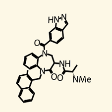 CN[C@@H](C)C(=O)NC1CN(C(=O)c2ccc3cn[nH]c3c2)c2ccccc2N(Cc2c(C)ccc3ccccc23)C1=O